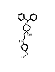 CC(C)Oc1ccc(NCCC2(O)CCN(C(c3ccccc3)c3ccccc3)CC2)cc1